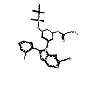 CC(C)(C)[Si](C)(C)OC1CC(OC(N)=O)CC(n2c(-c3ccccc3F)nc3cnc(Br)cc32)C1